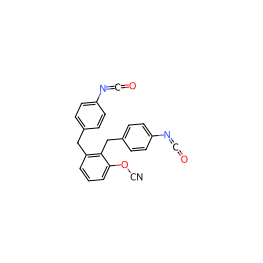 N#COc1cccc(Cc2ccc(N=C=O)cc2)c1Cc1ccc(N=C=O)cc1